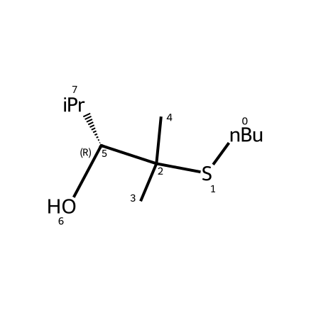 CCCCSC(C)(C)[C@H](O)C(C)C